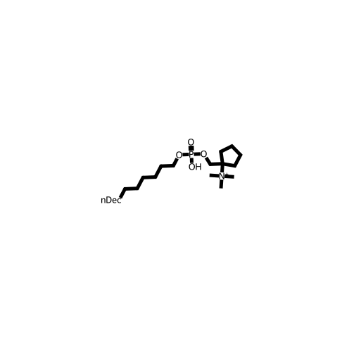 CCCCCCCCCCCCCCCCOP(=O)(O)OCC1([N+](C)(C)C)CCCC1